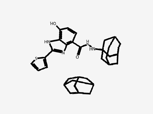 C1C2CC3CC1CC(C2)C3.O=C(NNC12CC3CC(CC(C3)C1)C2)c1ccc(O)c2[nH]c(-c3cccs3)nc12